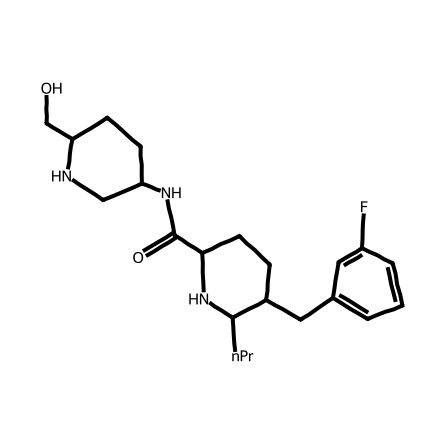 CCCC1NC(C(=O)NC2CCC(CO)NC2)CCC1Cc1cccc(F)c1